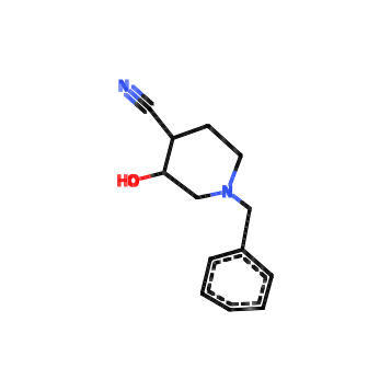 N#CC1CCN(Cc2ccccc2)CC1O